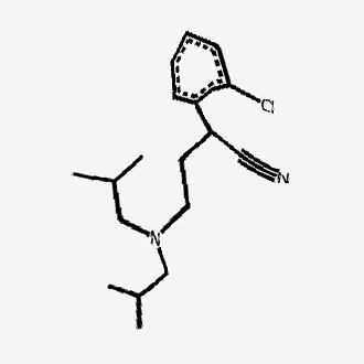 CC(C)CN(CCC(C#N)c1ccccc1Cl)CC(C)C